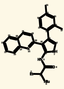 CCCCC(CC)C(=O)Nc1[nH]cc(-c2ccc(C)cc2C)c1-c1ccc2ccccc2n1